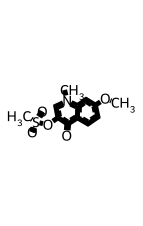 COc1ccc2c(=O)c(OS(C)(=O)=O)cn(C)c2c1